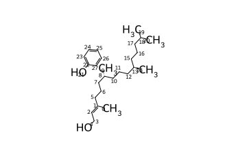 C/C(=C\CO)CCC[C@H](C)CCC[C@H](C)CCCC(C)C.Oc1ccccc1